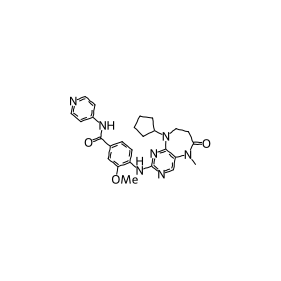 COc1cc(C(=O)Nc2ccncc2)ccc1Nc1ncc2c(n1)N(C1CCCC1)CCC(=O)N2C